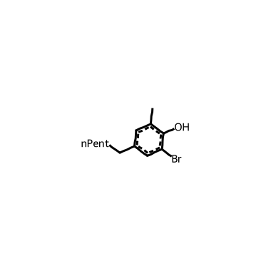 CCCCCCc1cc(C)c(O)c(Br)c1